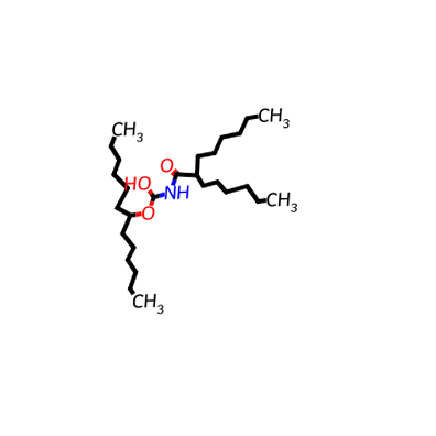 CCCCCCC(CCCCCC)OC(O)NC(=O)C(CCCCCC)CCCCCC